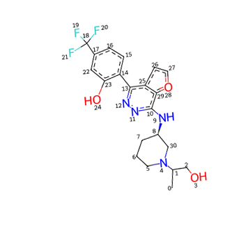 CC(CO)N1CCC[C@@H](Nc2nnc(-c3ccc(C(F)(F)F)cc3O)c3ccoc23)C1